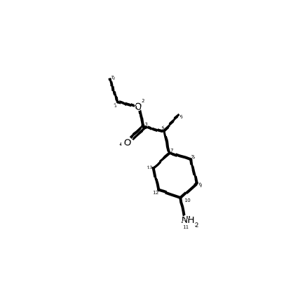 CCOC(=O)C(C)C1CCC(N)CC1